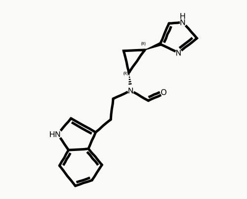 O=CN(CCc1c[nH]c2ccccc12)[C@@H]1C[C@H]1c1c[nH]cn1